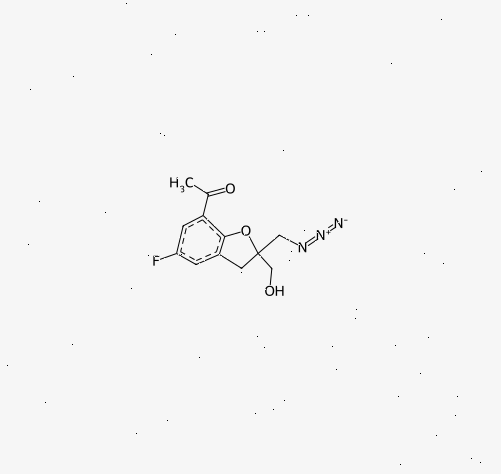 CC(=O)c1cc(F)cc2c1OC(CO)(CN=[N+]=[N-])C2